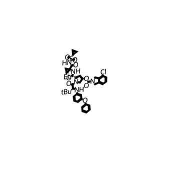 CC[C@@H]1C[C@]1(NC(=O)[C@@H]1C[C@@H](OC(=O)N2Cc3cccc(Cl)c3C2)CN1C(=O)[C@@H](Nc1cccc(Oc2ccccc2)c1)C(C)(C)C)C(=O)NS(=O)(=O)C1CC1